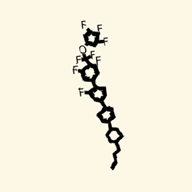 C=CCCC1CCC(c2ccc(-c3ccc(-c4cc(F)c(C(F)(F)Oc5cc(F)c(F)c(F)c5)c(F)c4)c(F)c3)cc2)CC1